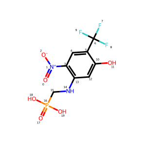 O=[N+]([O-])c1cc(C(F)(F)F)c(O)cc1NCP(=O)(O)O